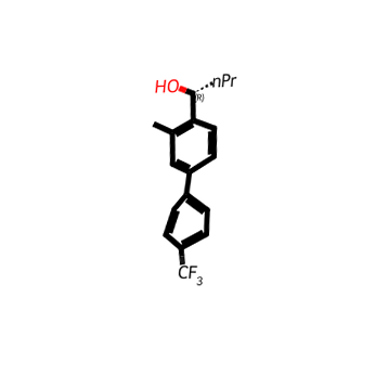 CCC[C@@H](O)c1ccc(-c2ccc(C(F)(F)F)cc2)cc1C